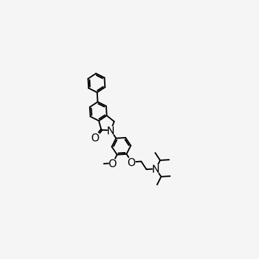 COc1cc(N2Cc3cc(-c4ccccc4)ccc3C2=O)ccc1OCCN(C(C)C)C(C)C